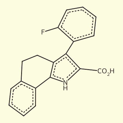 O=C(O)c1[nH]c2c(c1-c1ccccc1F)CCc1ccccc1-2